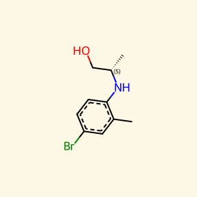 Cc1cc(Br)ccc1N[C@@H](C)CO